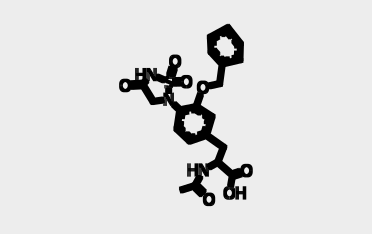 CC(=O)NC(Cc1ccc(N2CC(=O)NS2(=O)=O)c(OCc2ccccc2)c1)C(=O)O